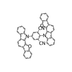 N#Cc1cc(-n2c3ccccc3c3ccc4c5ccccc5oc4c32)cc(C#N)c1-n1c2ccccc2c2ccc3c4ccccc4oc3c21